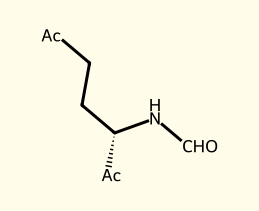 CC(=O)CC[C@H](NC=O)C(C)=O